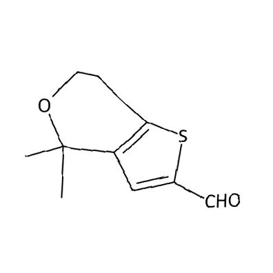 CC1(C)OCCc2sc(C=O)cc21